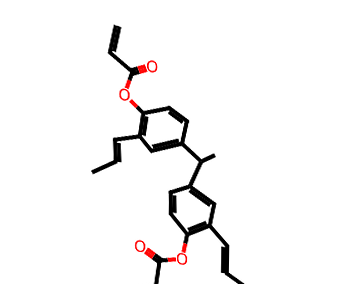 C=CC(=O)Oc1ccc(C(C)c2ccc(OC(=O)C=C)c(C=CC)c2)cc1C=CC